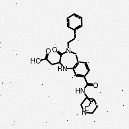 O=C(O)CC1Nc2cc(C(=O)NC3CN4CCC3CC4)ccc2CN(CCc2ccccc2)C1=O